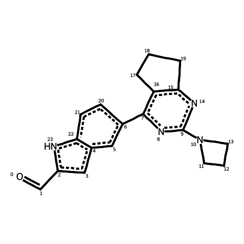 O=Cc1cc2cc(-c3nc(N4CCC4)nc4c3CCC4)ccc2[nH]1